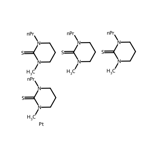 CCCN1CCCN(C)C1=S.CCCN1CCCN(C)C1=S.CCCN1CCCN(C)C1=S.CCCN1CCCN(C)C1=S.[Pt]